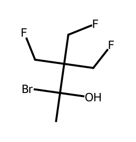 CC(O)(Br)C(CF)(CF)CF